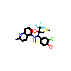 CSCC(O)(C(Nc1cccc2nc(C)ccc12)c1ccc(O)c(Cl)c1)C(F)(F)F